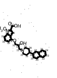 Cn1c(C(=O)O)cc2c(OC[C@@H](O)CN3CCC(c4ccc5ccccc5c4)CC3)cccc21